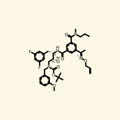 C=CCO/N=C(\C)c1cc(C(=O)N[C@@H](Cc2cc(F)cc(F)c2)[C@H](O)CN(Cc2cccc(OC)c2)C(=O)OC(C)(C)C)cc(C(=O)N(C)CCC)c1